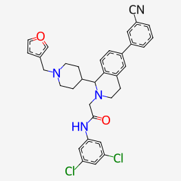 N#Cc1cccc(-c2ccc3c(c2)CCN(CC(=O)Nc2cc(Cl)cc(Cl)c2)C3C2CCN(Cc3ccoc3)CC2)c1